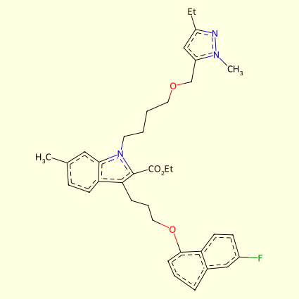 CCOC(=O)c1c(CCCOc2cccc3cc(F)ccc23)c2ccc(C)cc2n1CCCCOCc1cc(CC)nn1C